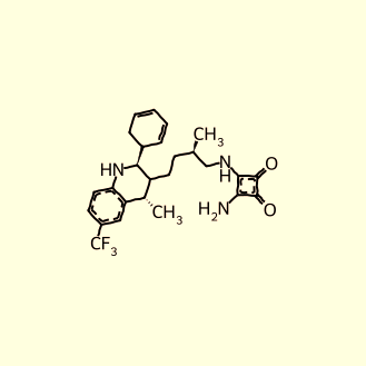 C[C@H](CCC1[C@H](C2C=CC=CC2)Nc2ccc(C(F)(F)F)cc2[C@H]1C)CNc1c(N)c(=O)c1=O